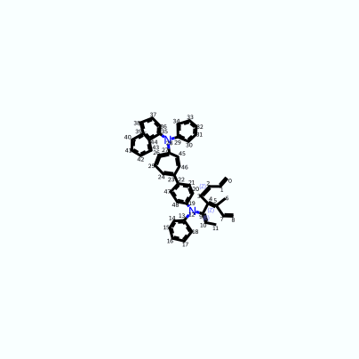 C=C\C=C/C(=C(\C)C=C)C(=C\C)/N(c1ccccc1)c1ccc(C2=CC=C=C(N(c3ccccc3)c3cccc4ccccc34)C=C2)cc1